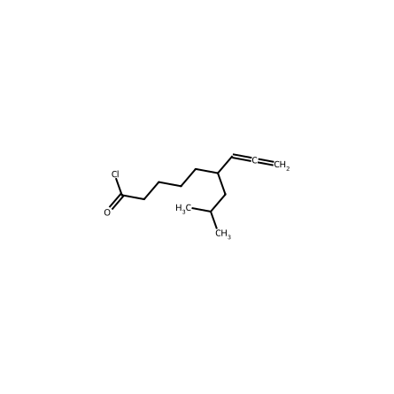 C=C=CC(CCCCC(=O)Cl)CC(C)C